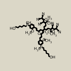 COc1cc(N(C)CCCCCCO)ccc1/C=C/C1=CC(=C(/C=C/C2=C(C#N)C(=C(C#N)C#N)OC2(C)C)/C=C/C2=C(C#N)C(=C(C#N)C#N)OC2(C)C)C=C(/C=C/c2ccc(N(C)CCCCCCO)cc2OC)O1